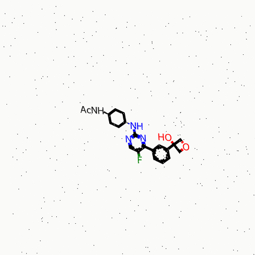 CC(=O)N[C@H]1CC[C@H](Nc2ncc(F)c(-c3cccc(C4(O)COC4)c3)n2)CC1